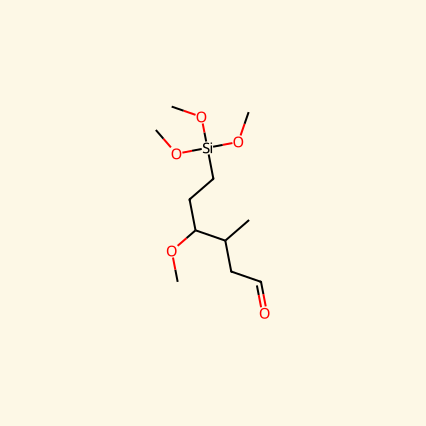 COC(CC[Si](OC)(OC)OC)C(C)CC=O